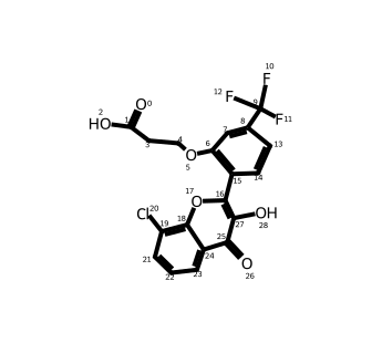 O=C(O)CCOc1cc(C(F)(F)F)ccc1-c1oc2c(Cl)cccc2c(=O)c1O